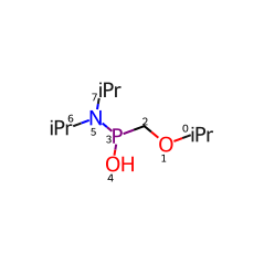 CC(C)OCP(O)N(C(C)C)C(C)C